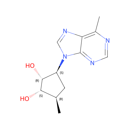 Cc1ncnc2c1ncn2[C@H]1C[C@@H](C)[C@H](O)[C@@H]1O